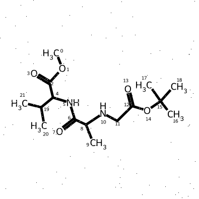 COC(=O)C(NC(=O)C(C)NCC(=O)OC(C)(C)C)C(C)C